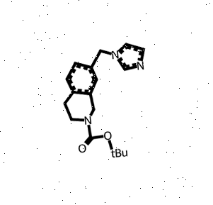 CC(C)(C)OC(=O)N1CCc2ccc(Cn3ccnc3)cc2C1